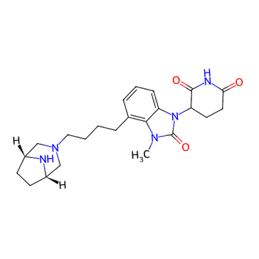 Cn1c(=O)n(C2CCC(=O)NC2=O)c2cccc(CCCCN3C[C@H]4CC[C@@H](C3)N4)c21